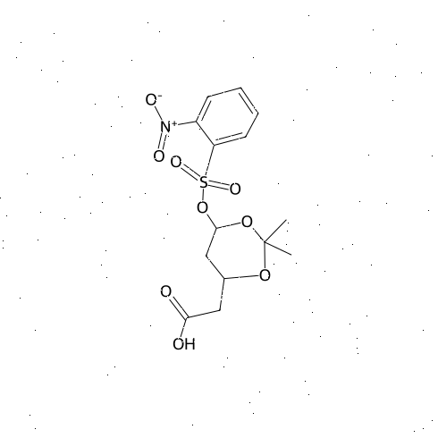 CC1(C)OC(CC(=O)O)CC(OS(=O)(=O)c2ccccc2[N+](=O)[O-])O1